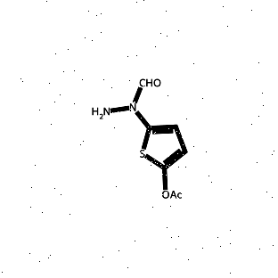 CC(=O)Oc1ccc(N(N)C=O)s1